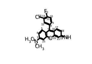 CN(C)c1ccc2c(-c3ccc(F)c(Cl)c3)c3ccc(=N)cc-3oc2c1